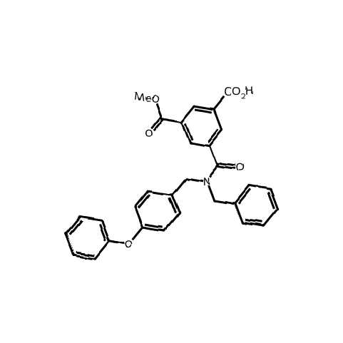 COC(=O)c1cc(C(=O)O)cc(C(=O)N(Cc2ccccc2)Cc2ccc(Oc3ccccc3)cc2)c1